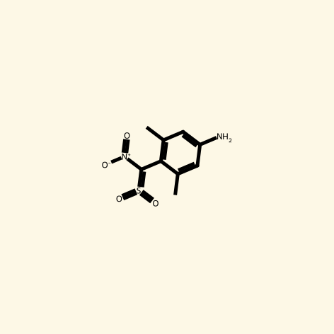 Cc1cc(N)cc(C)c1C([N+](=O)[O-])=S(=O)=O